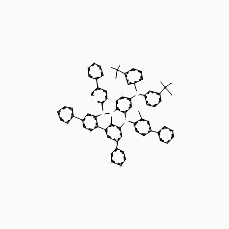 Cc1cc(-c2ccccc2)ccc1N1c2cc(N(c3cccc(C(C)(C)C)c3)c3cccc(C(C)(C)C)c3)ccc2B2c3c(cc(-c4ccccc4)cc31)-c1ccc(-c3ccccc3)cc1N2c1ccc(-c2ccccc2)cc1